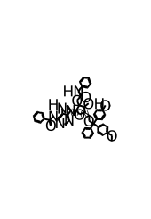 COc1ccc(C(OC[C@H]2O[C@@H](n3cnc4c(NC(=O)c5ccccc5)ncnc43)C(OC(=O)Nc3ccccc3)C2O)(c2ccccc2)c2ccc(OC)cc2)cc1